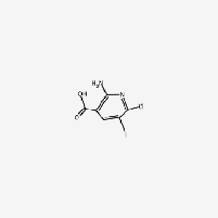 Nc1nc(Cl)c(I)cc1C(=O)O